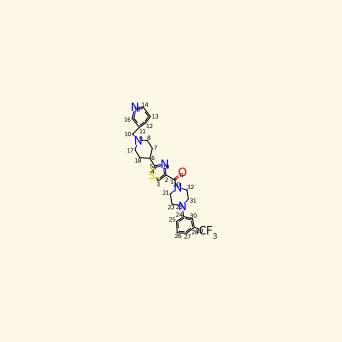 O=C(c1csc(C2CCN(Cc3cccnc3)CC2)n1)N1CCN(c2cccc(C(F)(F)F)c2)CC1